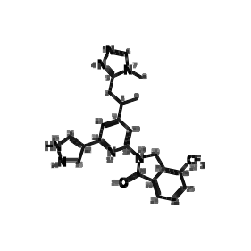 CC(Cc1nncn1C)c1cc(-c2cn[nH]c2)nc(N2Cc3c(cccc3C(F)(F)F)C2=O)c1